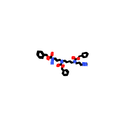 [NH]CCCN(CCCCN(CCCNC(=O)OCc1ccccc1)C(=O)OCc1ccccc1)C(=O)OCc1ccccc1